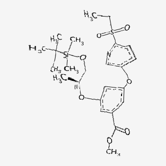 CCS(=O)(=O)c1ccc(Oc2cc(O[C@@H](C)CO[Si](C)(C)C(C)(C)C)cc(C(=O)OC)c2)cn1